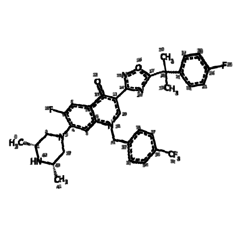 C[C@@H]1CN(c2cc3c(cc2F)c(=O)c(-c2noc(C(C)(C)c4ccc(F)cc4)n2)cn3Cc2ccc(C(F)(F)F)cc2)C[C@H](C)N1